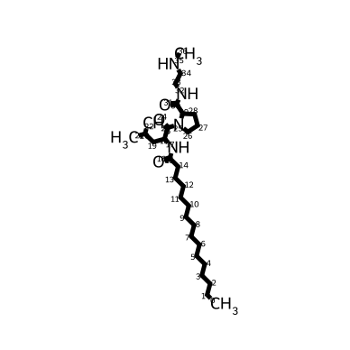 CCCCCCCCCCCCCCCC(=O)NC(CC(C)C)C(=O)N1CCCC1C(=O)NCCNC